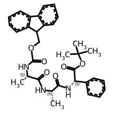 C[C@H](NC(=O)OCC1c2ccccc2-c2ccccc21)C(=O)N[C@@H](C)C(=O)N[C@H](C(=O)OC(C)(C)C)c1ccccc1